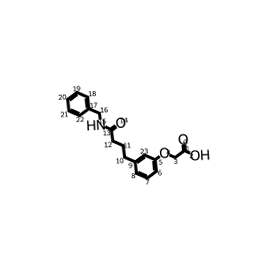 O=C(O)COc1cccc(CCCC(=O)NCc2ccccc2)c1